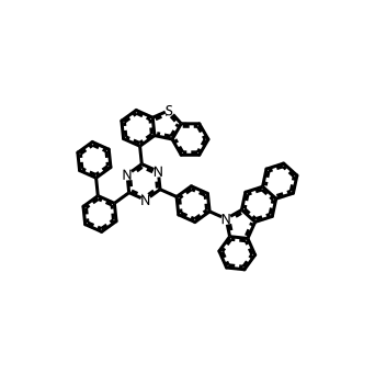 c1ccc(-c2ccccc2-c2nc(-c3ccc(-n4c5ccccc5c5cc6ccccc6cc54)cc3)nc(-c3cccc4sc5ccccc5c34)n2)cc1